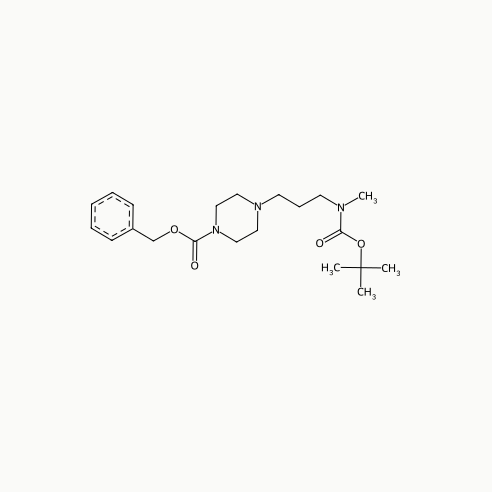 CN(CCCN1CCN(C(=O)OCc2ccccc2)CC1)C(=O)OC(C)(C)C